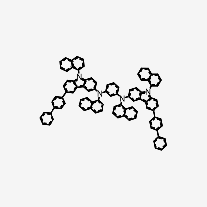 c1ccc(-c2ccc(-c3ccc4c(c3)c3cc(N(c5cccc(N(c6ccc7c(c6)c6cc(-c8ccc(-c9ccccc9)cc8)ccc6n7-c6cccc7ccccc67)c6cccc7ccccc67)c5)c5cccc6ccccc56)ccc3n4-c3cccc4ccccc34)cc2)cc1